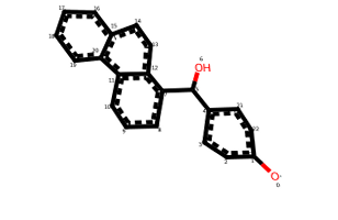 [O]c1ccc(C(O)c2cccc3c2ccc2ccccc23)cc1